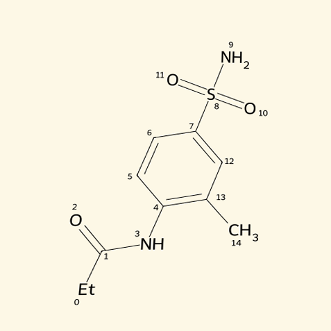 CCC(=O)Nc1ccc(S(N)(=O)=O)cc1C